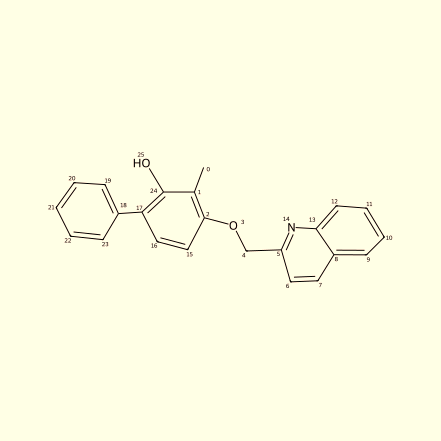 Cc1c(OCc2ccc3ccccc3n2)ccc(-c2ccccc2)c1O